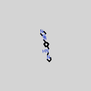 CN1CCN(/N=C/c2ccc(CNCCN3CCCC3)cc2)CC1